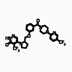 O=C(c1cccc(OCC2CCCN2c2cn[nH]c(=O)c2C(F)(F)F)c1)N1CCN(c2ccc(C(F)(F)F)cn2)CC1